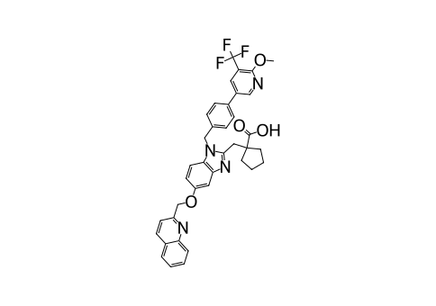 COc1ncc(-c2ccc(Cn3c(CC4(C(=O)O)CCCC4)nc4cc(OCc5ccc6ccccc6n5)ccc43)cc2)cc1C(F)(F)F